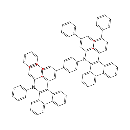 c1ccc(-c2ccc(-c3c(N(c4ccc(-c5cc(-c6ccccc6)cc(-c6c(N(c7ccccc7)c7ccccc7)c7ccccc7c7ccccc67)c5)cc4)c4cccc(-c5ccccc5)c4)c4ccccc4c4ccccc34)cc2)cc1